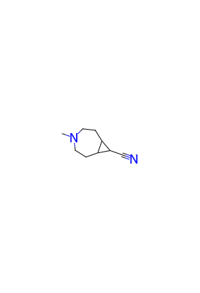 CN1CCC2C(C#N)C2CC1